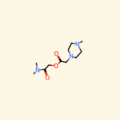 CN1CCN(CC(=O)OCC(=O)N(C)C)CC1